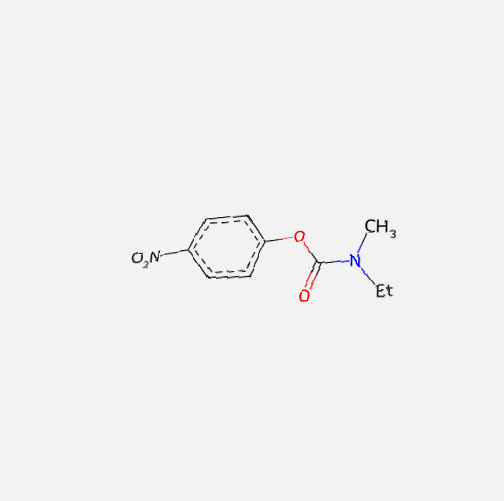 CCN(C)C(=O)Oc1ccc([N+](=O)[O-])cc1